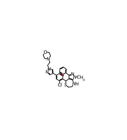 Cn1nc(-c2ccccn2)c2c1NCCSC2c1ccc(-c2cnn(CCN3CCOCC3)c2)cc1Cl